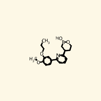 CCCOc1cc(-c2cccc(C3CCOB(O)C3)n2)ccc1OC